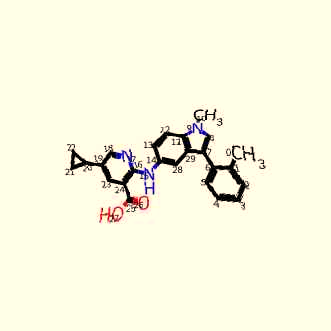 Cc1ccccc1-c1cn(C)c2ccc(Nc3ncc(C4CC4)cc3C(=O)O)cc12